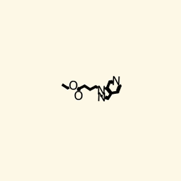 CCOC(=O)CCCn1ncc2ccncc21